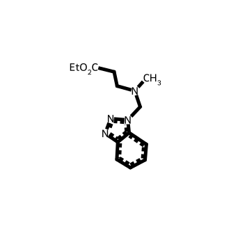 CCOC(=O)CCN(C)Cn1nnc2ccccc21